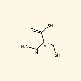 NN[C@@H](CS)C(=O)S